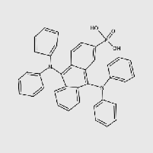 O=P(O)(O)c1ccc2c(N(c3ccccc3)c3ccccc3)c3ccccc3c(N(c3ccccc3)c3ccccc3)c2c1